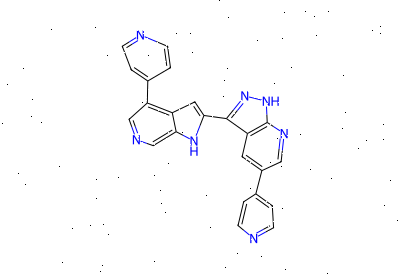 c1cc(-c2cnc3[nH]nc(-c4cc5c(-c6ccncc6)cncc5[nH]4)c3c2)ccn1